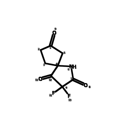 O=C1CCC2(C1)NC(=O)C(F)(F)C2=O